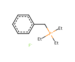 CC[P+](CC)(CC)Cc1ccccc1.[F-]